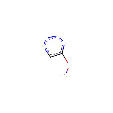 NOc1cnnnn1